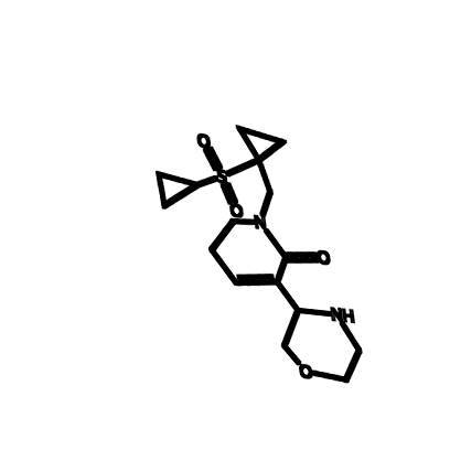 O=C1C(C2COCCN2)=CCCN1CC1(S(=O)(=O)C2CC2)CC1